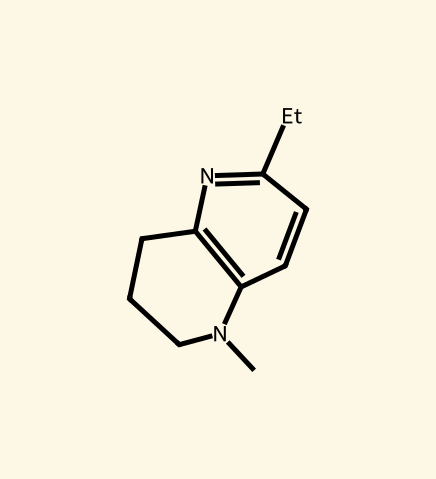 CCc1ccc2c(n1)CCCN2C